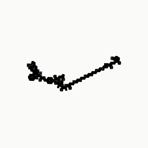 CCOCc1nc2c(NC(=O)OCc3ccc(NC(=O)C(CC(C)=O)NC(=O)[C@H](C)NC(=O)[C@H](C)NC(=O)CCOCCOCCOCCOCCOCCOCCNC(=O)CCN4C(=O)C=CC4=O)cc3)nc3ccccc3c2n1CC(C)(C)O